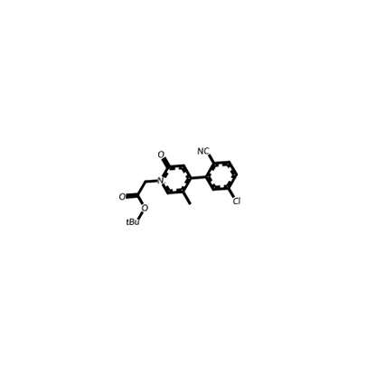 Cc1cn(CC(=O)OC(C)(C)C)c(=O)cc1-c1cc(Cl)ccc1C#N